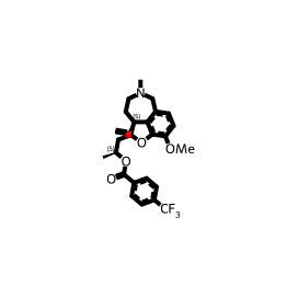 C=C[C@@]12CCN(C)Cc3ccc(OC)c(c31)OC2C[C@H](C)OC(=O)c1ccc(C(F)(F)F)cc1